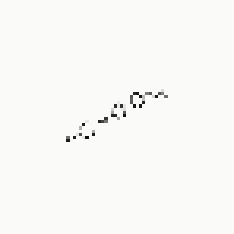 C=CCC[C@H]1CC[C@H](c2ccc(C#C[C@H]3CC[C@H](Cl)CC3)cc2)CC1